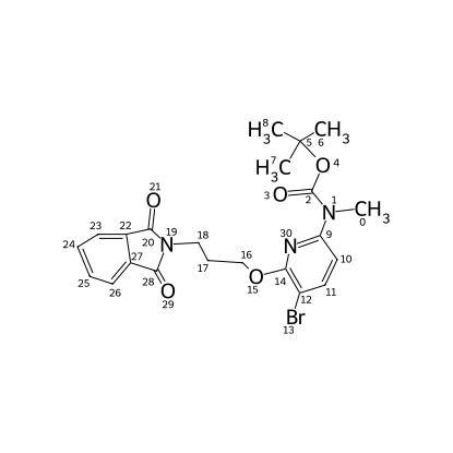 CN(C(=O)OC(C)(C)C)c1ccc(Br)c(OCCCN2C(=O)c3ccccc3C2=O)n1